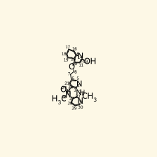 CCN1c2ncc(CCOc3cc(O)nc4ccccc34)cc2C(=O)N(C)c2cccnc21